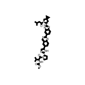 COC(=O)N[C@H](C(=O)N1CCC[C@H]1c1ncc(-c2ccc3nc(-c4ccc5nc([C@@H]6CC7(CC7)CN6C(=O)CC(C)C)[nH]c5c4)ncc3c2)[nH]1)C(C)C